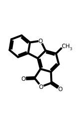 Cc1cc2c(c3c1oc1ccccc13)C(=O)OC2=O